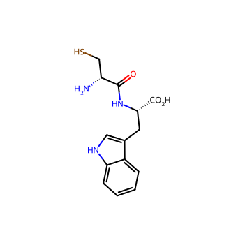 N[C@H](CS)C(=O)N[C@@H](Cc1c[nH]c2ccccc12)C(=O)O